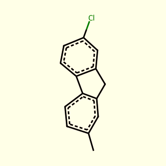 Cc1ccc2c(c1)Cc1cc(Cl)ccc1-2